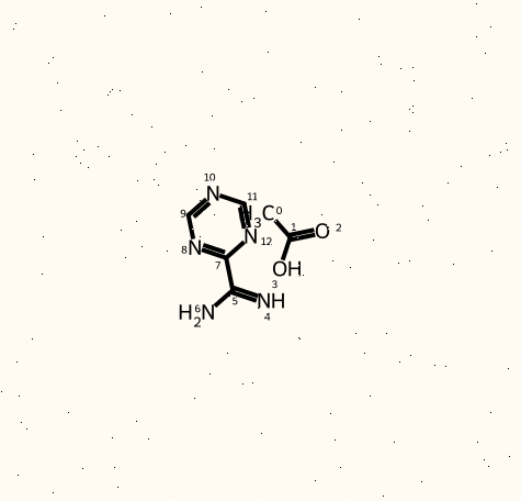 CC(=O)O.N=C(N)c1ncncn1